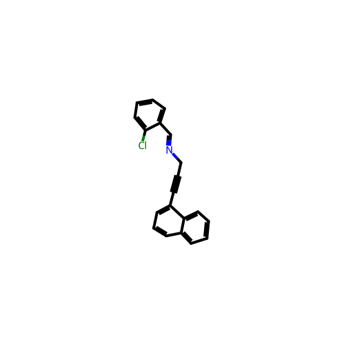 Clc1ccccc1C=NCC#Cc1cccc2ccccc12